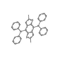 Cc1cc2c(N(c3ccccc3)c3ccccc3)c3sc(C)cc3c(N(c3ccccc3)c3ccccc3)c2s1